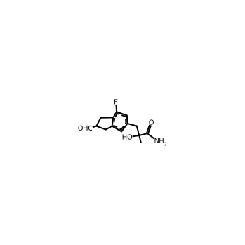 CC(O)(Cc1cc(F)c2c(c1)CC(C=O)C2)C(N)=O